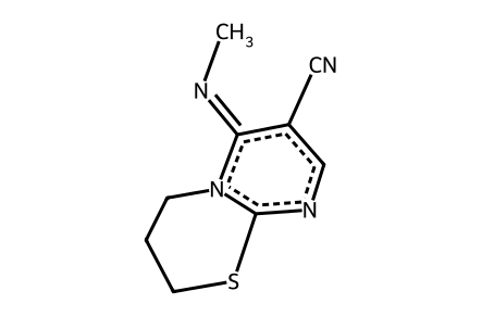 CN=c1c(C#N)cnc2n1CCCS2